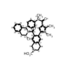 Cc1c(C(=O)N(C)c2ccccc2)cc(-c2cc3c(cc2C(=O)N2Cc4ccccc4C[C@H]2C)CN(C(=O)O)CC3)n1C